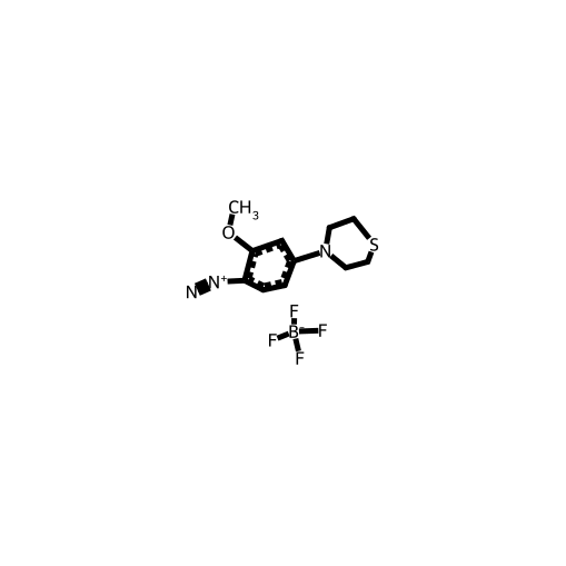 COc1cc(N2CCSCC2)ccc1[N+]#N.F[B-](F)(F)F